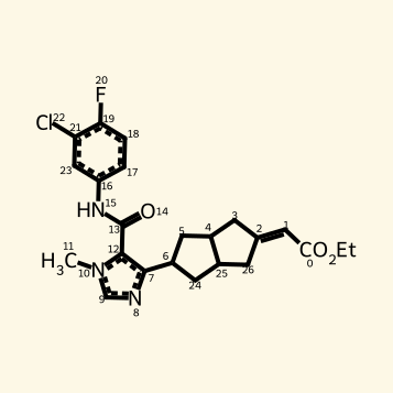 CCOC(=O)C=C1CC2CC(c3ncn(C)c3C(=O)Nc3ccc(F)c(Cl)c3)CC2C1